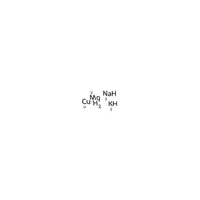 [Cu].[KH].[MgH2].[NaH]